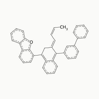 C/C=C\C=C1/CC(c2cccc3c2oc2ccccc23)=c2ccccc2=C1c1cccc(-c2ccccc2)c1